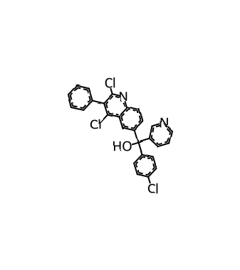 OC(c1ccc(Cl)cc1)(c1cccnc1)c1ccc2nc(Cl)c(-c3ccccc3)c(Cl)c2c1